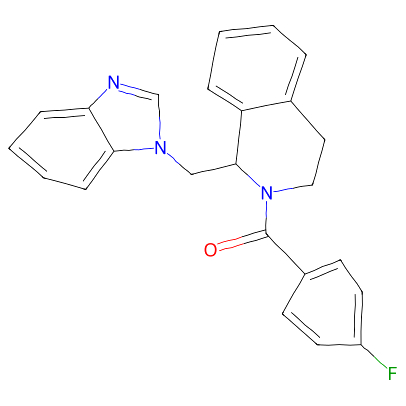 O=C(c1ccc(F)cc1)N1CCc2ccccc2C1Cn1cnc2ccccc21